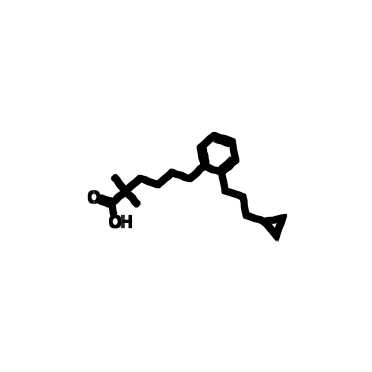 CC(C)(CCCCc1ccccc1CCCC1CC1)C(=O)O